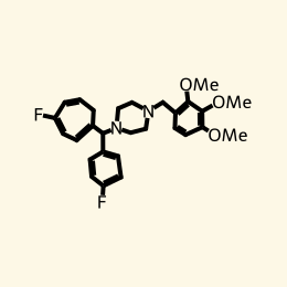 COc1ccc(CN2CCN(C(C3=CC=C(F)C=CC3)c3ccc(F)cc3)CC2)c(OC)c1OC